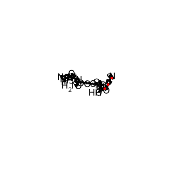 Cc1ncsc1-c1ccc(CNC(=O)[C@@H]2CC(O)CN2C(=O)[C@@H](NC(=O)COCCOCCCOc2ncc(N3C(=S)N(c4ccc(C#N)c(C(F)(F)F)c4F)C(=O)C3(C)C)cc2C(N)=O)C(C)(C)C)cc1